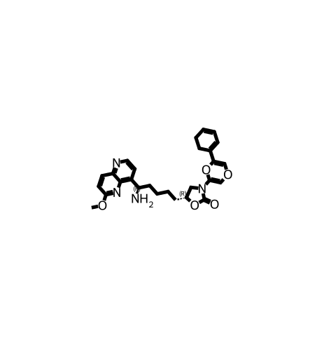 COc1ccc2nccc([C@H](N)CCCC[C@@H]3CN(C4=COC=C(C5=CC=CCC5)O4)C(=O)O3)c2n1